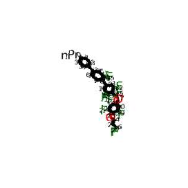 CCCc1ccc(-c2ccc(-c3cc(F)c(C(F)(F)Oc4cc(F)c(OCCCF)c(F)c4)c(F)c3)c(F)c2)cc1